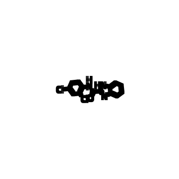 O=C(Nc1ccc(Cl)cc1Cl)c1nc2ccccc2[nH]1